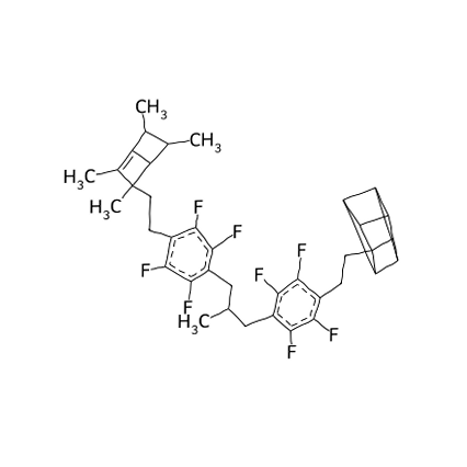 CC1=C2C(C)C(C)C2C1(C)CCc1c(F)c(F)c(CC(C)Cc2c(F)c(F)c(CCC34C5C6C7C5C3C7C64)c(F)c2F)c(F)c1F